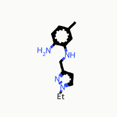 CCn1ccc(CNc2cc(C)ccc2N)n1